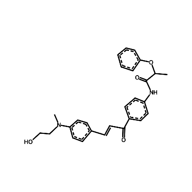 CC(Oc1ccccc1)C(=O)Nc1ccc(C(=O)/C=C/c2ccc(N(C)CCO)cc2)cc1